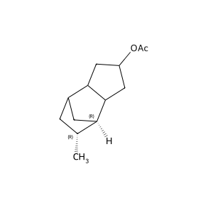 CC(=O)OC1CC2C3C[C@@H](C)[C@@H](C3)C2C1